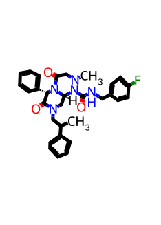 CC(CN1C[C@H]2N(C(=O)CN(C)N2C(=O)NCc2ccc(F)cc2)[C@@H](c2ccccc2)C1=O)c1ccccc1